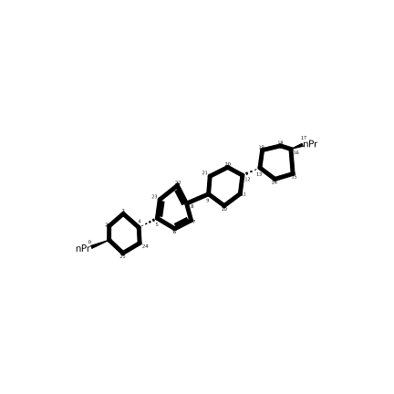 CCC[C@H]1CC[C@H](c2ccc(C3CCC([C@H]4CC[C@H](CCC)CC4)CC3)cc2)CC1